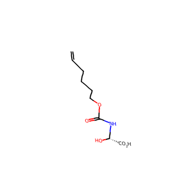 C=CCCCCOC(=O)N[C@@H](O)C(=O)O